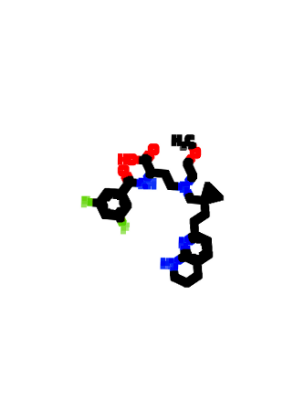 COCCN(CCC(NC(=O)c1cc(F)cc(F)c1)C(=O)O)CC1(CCc2ccc3c(n2)NCCC3)CC1